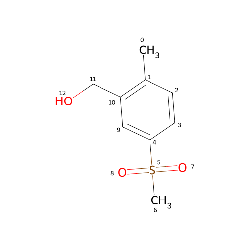 Cc1ccc(S(C)(=O)=O)cc1CO